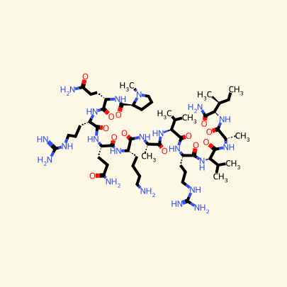 CC[C@H](C)[C@H](NC(=O)[C@H](C)NC(=O)[C@@H](NC(=O)[C@H](CCCNC(=N)N)NC(=O)[C@@H](NC(=O)[C@H](C)NC(=O)[C@H](CCCCN)NC(=O)[C@H](CCC(N)=O)NC(=O)[C@H](CCCNC(=N)N)NC(=O)[C@H](CCC(N)=O)NC(=O)[C@@H]1CCCN1C)C(C)C)C(C)C)C(N)=O